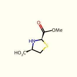 COC(=O)[C@@H]1N[C@H](C(=O)O)CS1